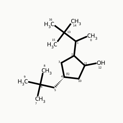 CC(C1C[C@@H](CC(C)(C)C)CC1O)C(C)(C)C